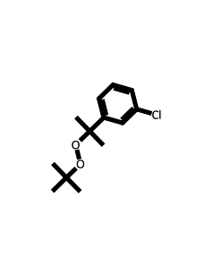 CC(C)(C)OOC(C)(C)c1cccc(Cl)c1